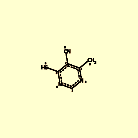 Cc1ncnc(S)c1C#N